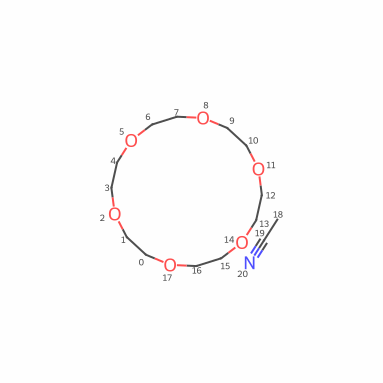 C1COCCOCCOCCOCCOCCO1.CC#N